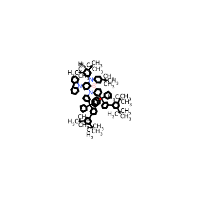 CC(C)(C)c1cc(-c2cccc(C(c3ccccc3)(c3ccccc3)c3cccc(N4c5cc(C(c6ccccc6)(c6ccccc6)c6cccc(-c7cc(C(C)(C)C)cc(C(C)(C)C)c7)c6)ccc5B5c6cc(C(C)(C)C)ccc6N(c6cc(C(C)(C)C)cc(C(C)(C)C)c6)c6cc(-n7c8ccccc8c8ccccc87)cc4c65)c3)c2)cc(C(C)(C)C)c1